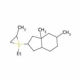 CCS1(C2CC3CCC(C)CC3(C)C2)CC1C